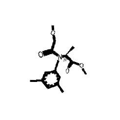 COCC(=O)N(c1cc(C)cc(C)c1)[C@@H](C)C(=O)OC